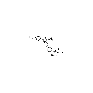 CCCC(C(=O)O)S(=O)(=O)C[C@H]1CCC[C@@H](OCc2nc(-c3ccc(C)cc3)oc2C)C1